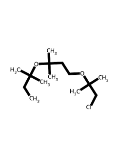 CCC(C)(C)OC(C)(C)CCOC(C)(C)CCl